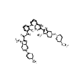 Cn1c(C(=O)Nc2cccc(-c3cccc(NC(=O)c4nc5c(n4C)CCN(C4CCC(O)CC4)C5)c3Cl)c2Cl)nc2c1CCN(C[C@H]1CC[C@H](C(=O)O)CC1)C2